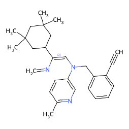 C#Cc1ccccc1CN(/C=C(\N=C)C1CC(C)(C)CC(C)(C)C1)c1ccc(C)nc1